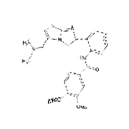 COc1ccc(C(=O)Nc2ccccc2C2CN3C(CN(C)C)=CSC3=N2)cc1OC